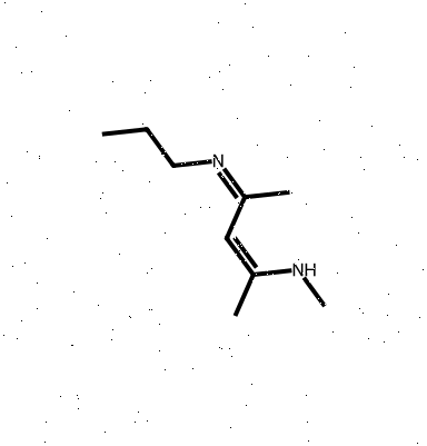 CCCN=C(C)C=C(C)NC